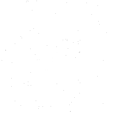 O=C(O)[C@@]1(c2ccccc2)CC1CNCl